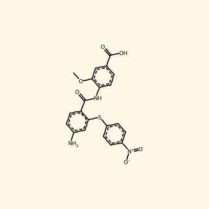 COc1cc(C(=O)O)ccc1NC(=O)c1ccc(N)cc1Sc1ccc([N+](=O)[O-])cc1